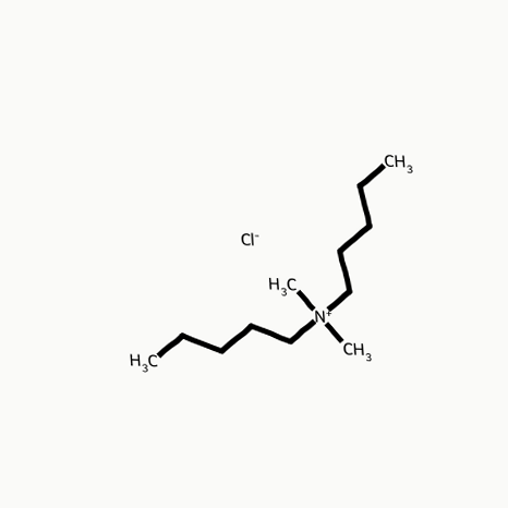 CCCCC[N+](C)(C)CCCCC.[Cl-]